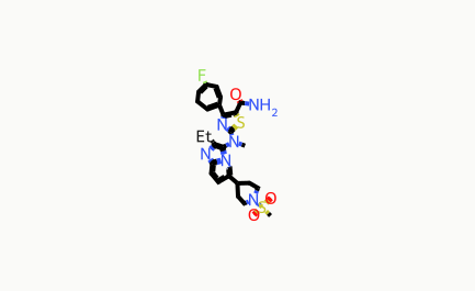 CCc1nc2ccc(C3CCN(S(C)(=O)=O)CC3)cn2c1N(C)c1nc(C2=CCC=C(F)C=C2)c(C(N)=O)s1